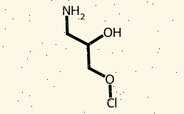 NCC(O)COCl